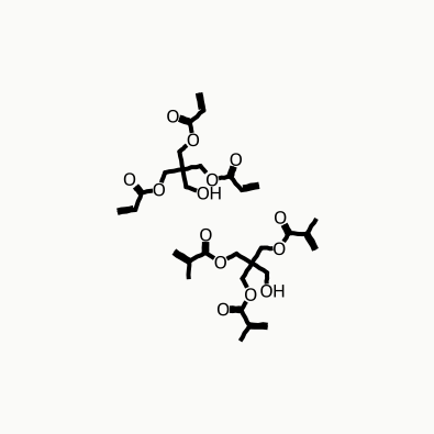 C=C(C)C(=O)OCC(CO)(COC(=O)C(=C)C)COC(=O)C(=C)C.C=CC(=O)OCC(CO)(COC(=O)C=C)COC(=O)C=C